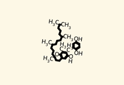 Cc1c(O)cc2c(c1C)OC(C)(CCCC(C)CCCC(C)CCCC(C)C)CC2.Oc1ccc(O)cc1